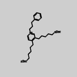 CCCCCCCCCCCCCCCc1cc[n+](CCCc2ccccc2)cc1CCCCCCCCCCCCCCC